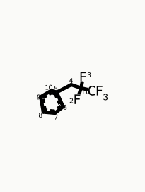 FC(F)(F)C(F)(F)Cc1ccccc1